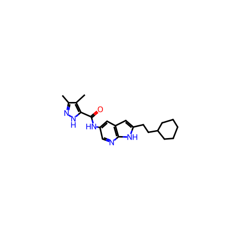 Cc1n[nH]c(C(=O)Nc2cnc3[nH]c(CCC4CCCCC4)cc3c2)c1C